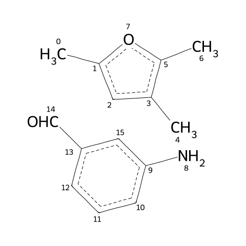 Cc1cc(C)c(C)o1.Nc1cccc(C=O)c1